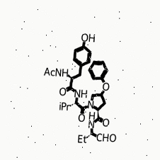 CC[C@@H](C=O)NC(=O)[C@@H]1CC(Oc2ccccc2)CN1C(=O)[C@@H](NC(=O)[C@H](Cc1ccc(O)cc1)NC(C)=O)C(C)C